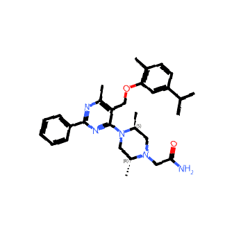 Cc1ccc(C(C)C)cc1OCc1c(C)nc(-c2ccccc2)nc1N1C[C@@H](C)N(CC(N)=O)C[C@@H]1C